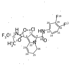 C[C@@H](NS(=O)(=O)c1c(Cl)c(C(=O)Nc2ccc(F)c(F)c2)n2c1C=CCC2)C(F)(F)F